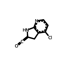 O=C=C1Cc2c(Cl)ccnc2N1